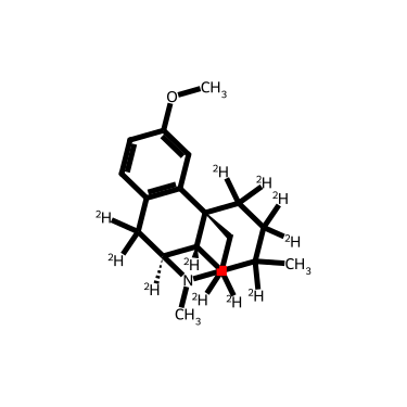 [2H]C1([2H])C([2H])(C)C([2H])([2H])[C@]2([2H])[C@@]3([2H])N(C)CC[C@@]2(c2cc(OC)ccc2C3([2H])[2H])C1([2H])[2H]